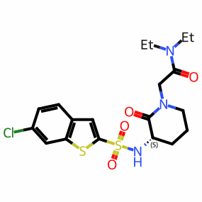 CCN(CC)C(=O)CN1CCC[C@H](NS(=O)(=O)c2cc3ccc(Cl)cc3s2)C1=O